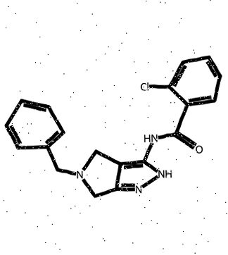 O=C(Nc1[nH]nc2c1CN(Cc1ccccc1)C2)c1ccccc1Cl